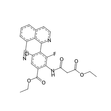 CCOC(=O)CC(=O)Nc1c(C(=O)OCC)cc(Cl)c(-c2nccc3cccc(C#N)c23)c1F